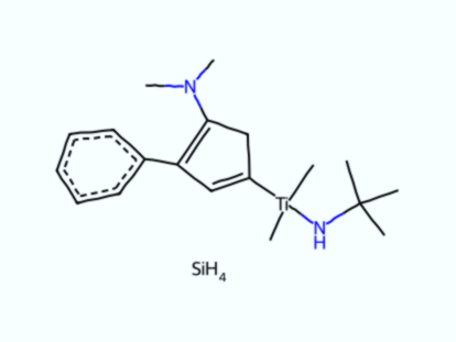 CN(C)C1=C(c2ccccc2)C=[C]([Ti]([CH3])([CH3])[NH]C(C)(C)C)C1.[SiH4]